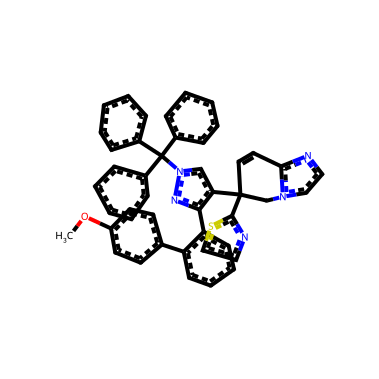 COc1ccc(-c2ccccc2-c2nn(C(c3ccccc3)(c3ccccc3)c3ccccc3)cc2C2(c3nccs3)C=Cc3nccn3C2)cc1